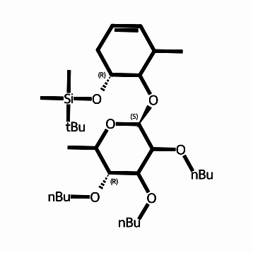 CCCCOC1C(OCCCC)[C@H](OCCCC)C(C)O[C@H]1OC1C(C)C=CC[C@H]1O[Si](C)(C)C(C)(C)C